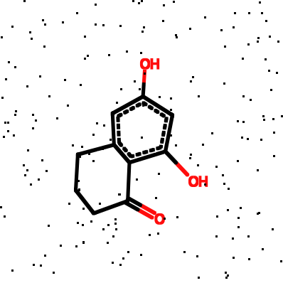 O=C1CCCc2cc(O)cc(O)c21